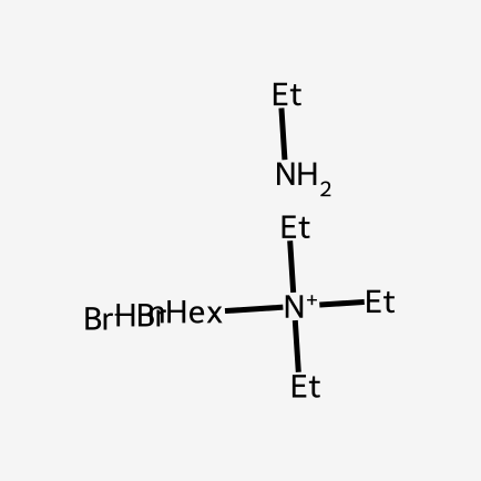 Br.CCCCCC[N+](CC)(CC)CC.CCN.[Br-]